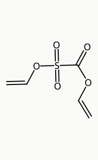 C=COC(=O)S(=O)(=O)OC=C